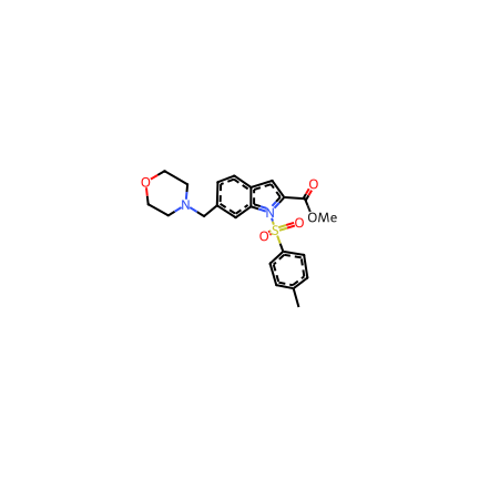 COC(=O)c1cc2ccc(CN3CCOCC3)cc2n1S(=O)(=O)c1ccc(C)cc1